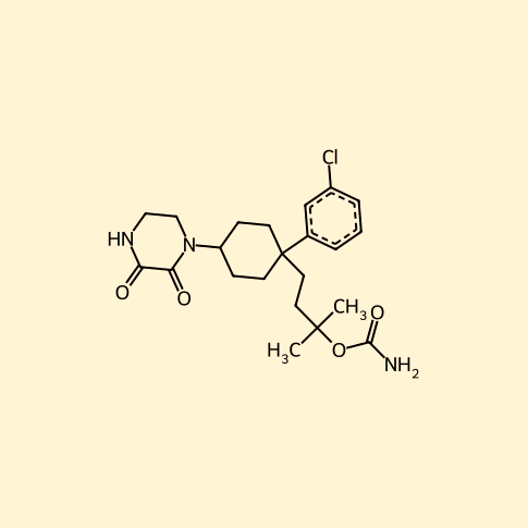 CC(C)(CCC1(c2cccc(Cl)c2)CCC(N2CCNC(=O)C2=O)CC1)OC(N)=O